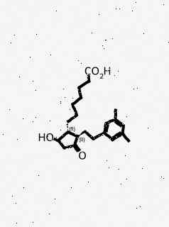 Cc1cc(C)cc(CC[C@H]2C(=O)CC(O)[C@@H]2CCCCCCC(=O)O)c1